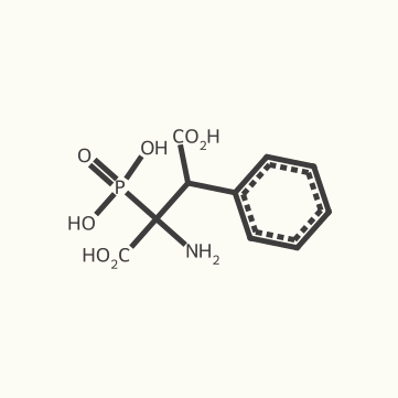 NC(C(=O)O)(C(C(=O)O)c1ccccc1)P(=O)(O)O